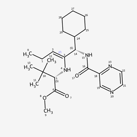 CC/C=C(\N[C@H](C(=O)OC)C(C)(C)C)[C@@H](NC(=O)c1cnccn1)C1CCCCC1